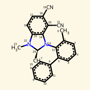 Cc1cccc(-c2ccccc2)c1N1c2c(ccc(C#N)c2C#N)N(C)[C@@H]1C